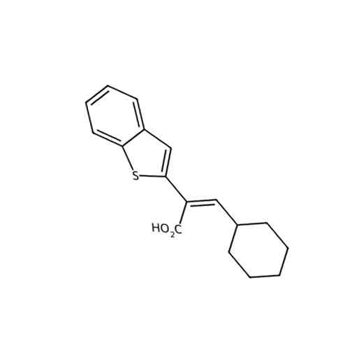 O=C(O)C(=CC1CCCCC1)c1cc2ccccc2s1